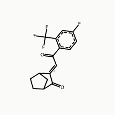 O=C(/C=C1/C(=O)C2CCC1C2)c1ccc(F)cc1C(F)(F)F